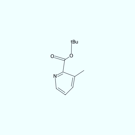 Cc1cccnc1C(=O)OC(C)(C)C